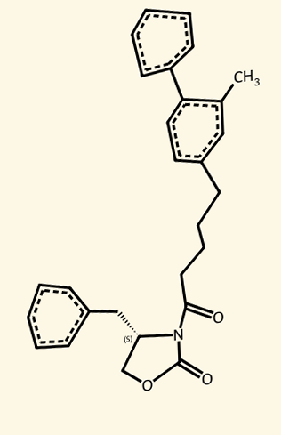 Cc1cc(CCCCC(=O)N2C(=O)OC[C@@H]2Cc2ccccc2)ccc1-c1ccccc1